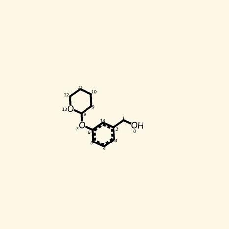 OCc1cccc(OC2CCCCO2)c1